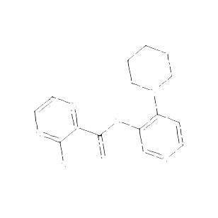 C=C(Nc1cnccc1N1CCCCC1)c1nccnc1N